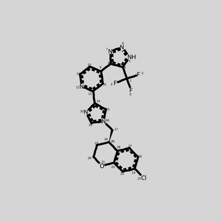 FC(F)(F)c1[nH]nnc1-c1ccnc(-c2cn(C[C@@H]3CCOc4cc(Cl)ccc43)cn2)c1